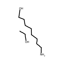 CCO.NCCCCCCCCO